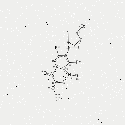 CCN1CC2CC1CN2c1c(F)cc2c(=O)c(OC(=O)O)cn(CC)c2c1F